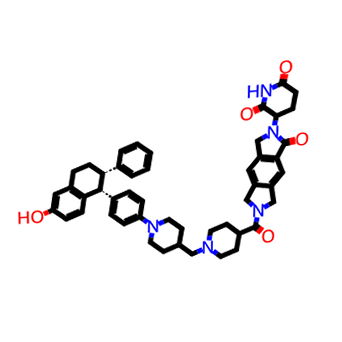 O=C1CCC(N2Cc3cc4c(cc3C2=O)CN(C(=O)C2CCN(CC3CCN(c5ccc([C@@H]6c7ccc(O)cc7CC[C@@H]6c6ccccc6)cc5)CC3)CC2)C4)C(=O)N1